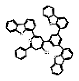 CCC1=C(c2cc(-c3cccc4c3sc3ccccc34)cc(-c3cccc4c3sc3ccccc34)c2)C=C(c2cccc3c2sc2ccccc23)N=C(c2ccccc2)C1